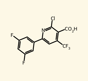 O=C(O)c1c(C(F)(F)F)cc(-c2cc(F)cc(F)c2)nc1Cl